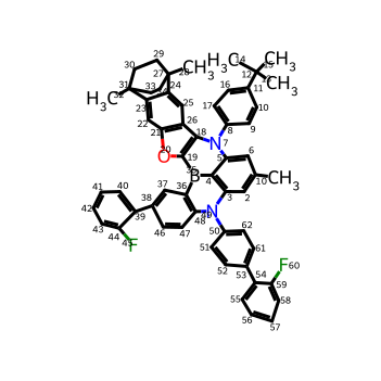 Cc1cc2c3c(c1)N(c1ccc(C(C)(C)C)cc1)c1c(oc4cc5c(cc14)C1(C)CCC5(C)CC1)B3c1cc(-c3ccccc3F)ccc1N2c1ccc(-c2ccccc2F)cc1